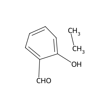 CC.O=Cc1ccccc1O